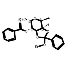 CCOC1(c2ccccc2)OC2[C@H](OC(=O)c3ccccc3)[C@H](OC)O[C@@H](C)[C@H]2O1